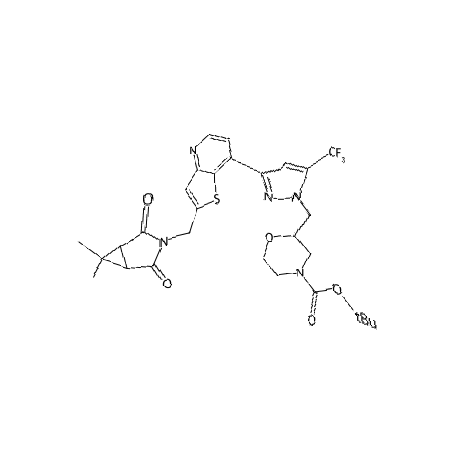 CC(C)(C)OC(=O)N1CCOC(Cn2nc(-c3ccnc4cc(CN5C(=O)C6C(C5=O)C6(C)C)sc34)cc2C(F)(F)F)C1